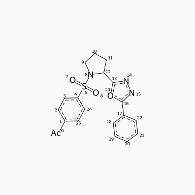 CC(=O)c1ccc(S(=O)(=O)N2CCCC2c2nnc(-c3ccccc3)o2)cc1